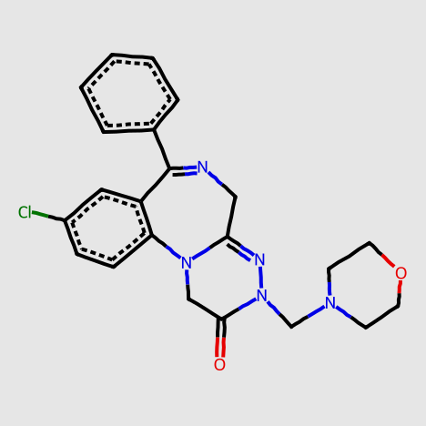 O=C1CN2C(=NN1CN1CCOCC1)CN=C(c1ccccc1)c1cc(Cl)ccc12